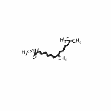 CNC(=O)CCCCCCC(C)CCCCC(C)C